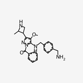 COc1c(C2CNC2C)nn(C(=O)c2ccccc2)c1NCc1ccc(CN)cc1